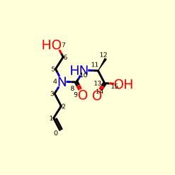 C=CCCN(CCO)C(=O)N[C@@H](C)C(=O)O